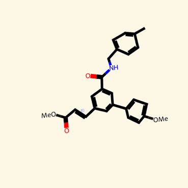 COC(=O)/C=C/c1cc(C(=O)NCc2ccc(C)cc2)cc(-c2ccc(OC)cc2)c1